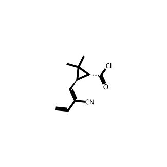 C=C/C(C#N)=C/[C@@H]1[C@@H](C(=O)Cl)C1(C)C